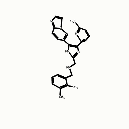 Cc1cccc(-c2nc(CNCc3cccc(C)c3C)[nH]c2-c2ccc3ncnn3c2)n1